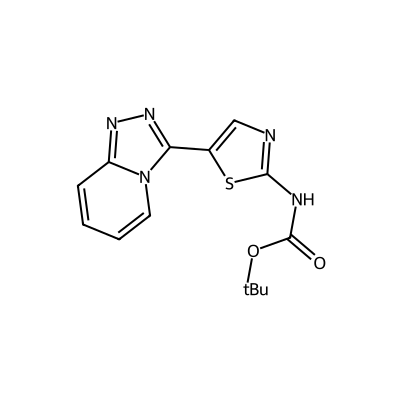 CC(C)(C)OC(=O)Nc1ncc(-c2nnc3ccccn23)s1